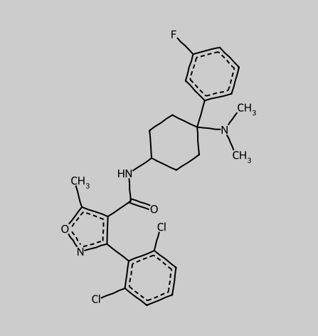 Cc1onc(-c2c(Cl)cccc2Cl)c1C(=O)NC1CCC(c2cccc(F)c2)(N(C)C)CC1